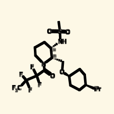 CC(C)[C@H]1CC[C@@H](OC[C@H]2[C@@H](NS(C)(=O)=O)CCCN2C(=O)C(F)(F)C(F)(F)C(F)(F)F)CC1